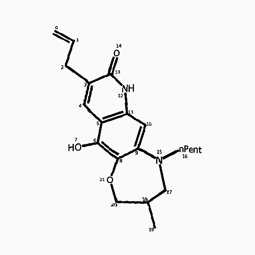 C=CCc1cc2c(O)c3c(cc2[nH]c1=O)N(CCCCC)CC(C)CO3